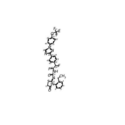 CCc1ccccc1N1C(=O)CS/C1=N\C(=O)NC(F)C(F)c1ccc(-c2ncn(-c3ccc(OC(F)(F)F)cc3)n2)cc1